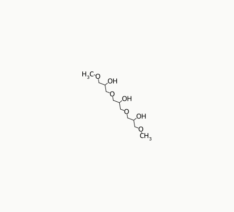 COCC(O)COCC(O)COCC(O)COC